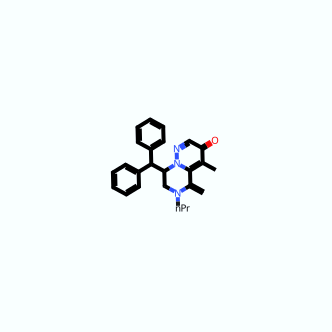 C=C1c2c(C)c(=O)cnn2C(C(c2ccccc2)c2ccccc2)CN1CCC